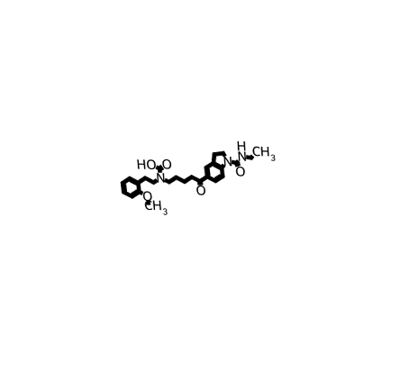 CCNC(=O)N1CCc2cc(C(=O)CCCCN(CCc3ccccc3OC)C(=O)O)ccc21